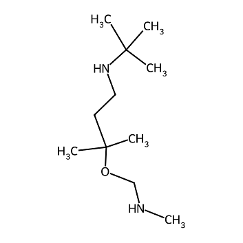 CNCOC(C)(C)CCNC(C)(C)C